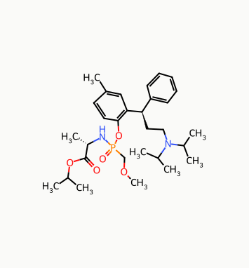 COCP(=O)(N[C@@H](C)C(=O)OC(C)C)Oc1ccc(C)cc1[C@H](CCN(C(C)C)C(C)C)c1ccccc1